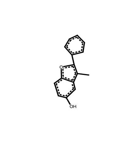 Cc1c(-c2ccccc2)oc2ccc(O)cc12